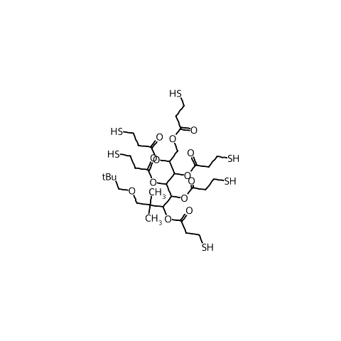 CC(C)(C)COCC(C)(C)C(OC(=O)CCS)C(OC(=O)CCS)C(OC(=O)CCS)C(OC(=O)CCS)C(COC(=O)CCS)OC(=O)CCS